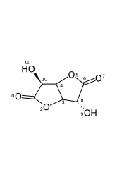 O=C1OC2C(OC(=O)[C@@H]2O)[C@@H]1O